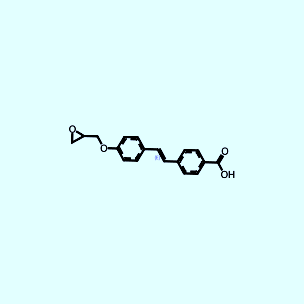 O=C(O)c1ccc(/C=C/c2ccc(OCC3CO3)cc2)cc1